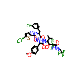 COc1ccc(C(NC(=O)C(Cc2cccc(Cl)c2)NC(=O)c2ccc(Cl)s2)C(=O)N[C@H](C(=O)C(F)(F)C(=O)NCC(F)(F)F)C(C)C)cc1